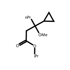 CCCC(CC(=O)OC(C)C)(OC)C1CC1